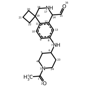 CC(=O)N1CCC(Nc2ccc3c(c2)C(C=O)NCC32CCC2)CC1